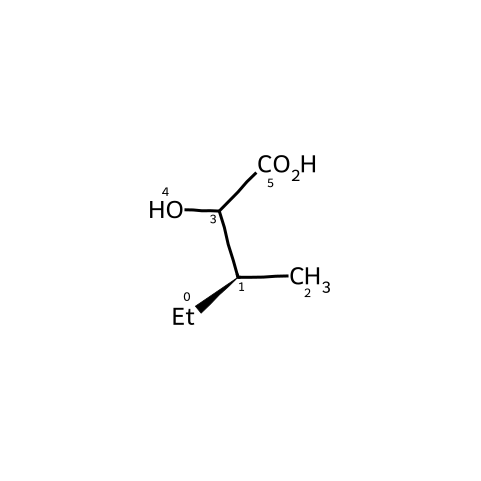 CC[C@H](C)C(O)C(=O)O